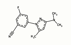 Cc1cc(N(C)C)nn1-c1cc(F)cc(C#N)c1